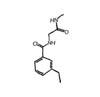 CCc1cccc(C(=O)NCC(=O)NC)c1